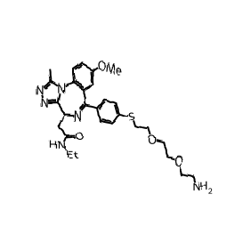 CCNC(=O)C[C@@H]1N=C(c2ccc(SCCOCCOCCN)cc2)c2cc(OC)ccc2-n2c(C)nnc21